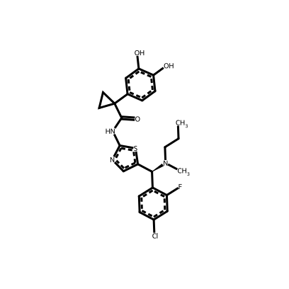 CCCN(C)[C@H](c1cnc(NC(=O)C2(c3ccc(O)c(O)c3)CC2)s1)c1ccc(Cl)cc1F